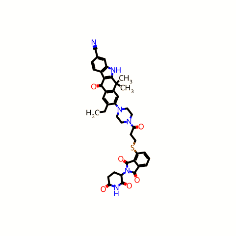 CCc1cc2c(cc1N1CCN(C(=O)CCSc3cccc4c3C(=O)N(C3CCC(=O)NC3=O)C4=O)CC1)C(C)(C)c1[nH]c3cc(C#N)ccc3c1C2=O